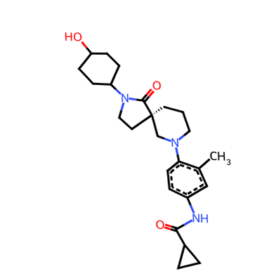 Cc1cc(NC(=O)C2CC2)ccc1N1CCC[C@@]2(CCN(C3CCC(O)CC3)C2=O)C1